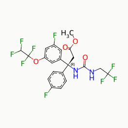 COC(=O)C[C@@](NC(=O)NCC(F)(F)F)(c1ccc(F)cc1)c1cc(F)cc(OC(F)(F)C(F)F)c1